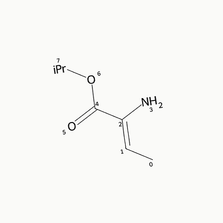 CC=C(N)C(=O)OC(C)C